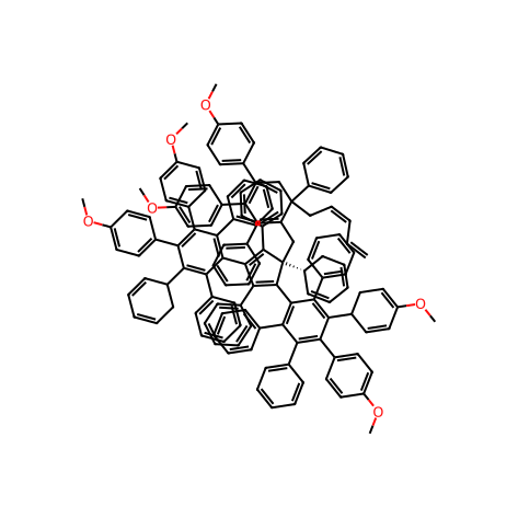 C=C/C=C\CC1(c2ccccc2)CC(c2ccc(OC)cc2)=C(c2ccc(OC)cc2)C(c2ccccc2)=C1CC1([C@H]2C=CC=CC2)C(c2ccccc2)=C(c2c(-c3ccccc3)c(-c3ccc(OC)cc3)c(-c3ccc(OC)cc3)c(C3C=CC=CC3)c2-c2ccccc2)C(c2ccccc2)=C1c1c(-c2ccccc2)c(-c2ccccc2)c(-c2ccc(OC)cc2)c(C2C=CC(OC)=CC2)c1-c1ccccc1